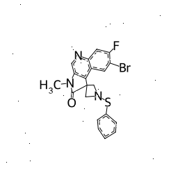 CN1C(=O)C2(CN(Sc3ccccc3)C2)c2c1cnc1cc(F)c(Br)cc21